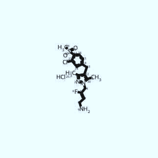 Cc1nn(C/C(F)=C/CN)c(C)c1Cc1ccc(S(C)(=O)=O)c(Cl)c1.Cl